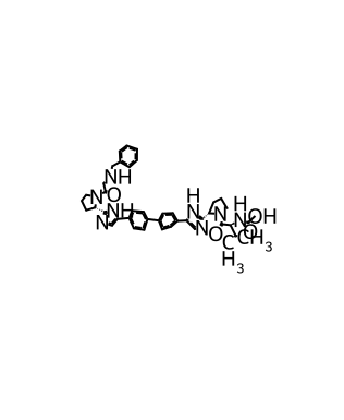 CC(C)[C@H](NC(=O)O)C(=O)N1CCC[C@H]1c1ncc(-c2ccc(-c3ccc(-c4cnc([C@@H]5CCCN5C(=O)CNCc5ccccc5)[nH]4)cc3)cc2)[nH]1